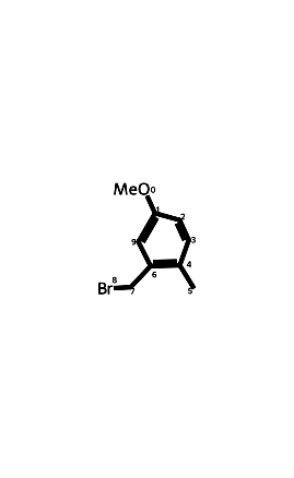 COc1ccc(C)c(CBr)c1